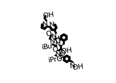 CC[C@H](C)[C@@H](C(=O)N[C@@H](Cc1ccccc1)[C@@H](O)CN(CC(C)C)S(=O)(=O)c1ccc(C=NO)cc1)N1CC(=O)N(Cc2ccnc(-c3cccn3CCO)c2)C1=O